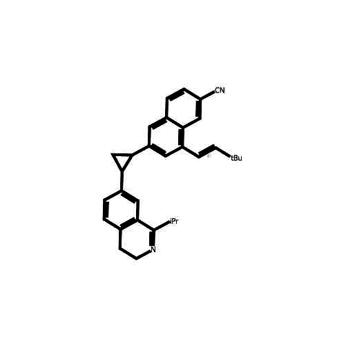 CC(C)C1=NCCc2ccc(C3CC3c3cc(/C=C/C(C)(C)C)c4cc(C#N)ccc4c3)cc21